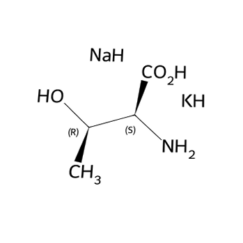 C[C@@H](O)[C@H](N)C(=O)O.[KH].[NaH]